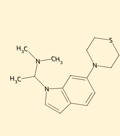 CC(N(C)C)n1ccc2ccc(N3CCSCC3)cc21